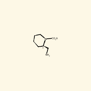 NC[C@H]1CCCCN1C(=O)O